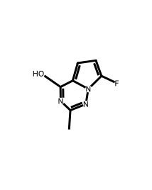 Cc1nc(O)c2ccc(F)n2n1